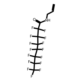 C=CCNC(=O)C(F)(F)C(F)(F)C(F)(F)C(F)(F)C(F)(F)C(F)(F)C(F)(F)F